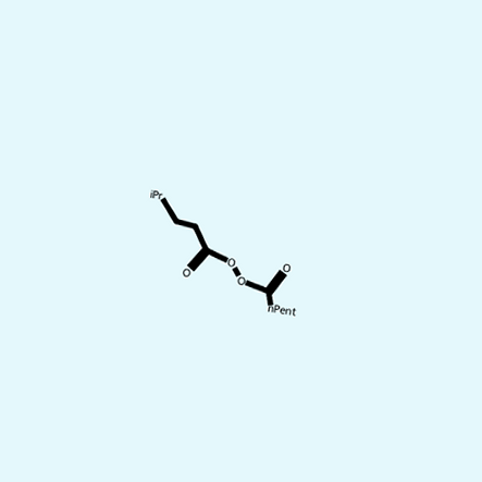 CCCCCC(=O)OOC(=O)CCC(C)C